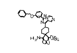 CC(C)COC(=O)C1(C(N)=O)CCC(C2=C3C=NC=C[N+]3(N)C(c3cccc(OCc4ccccc4)c3)=N2)CC1